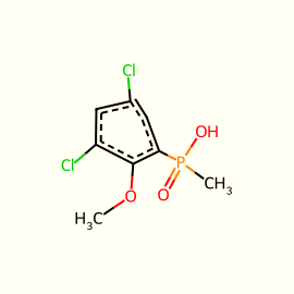 COc1c(Cl)cc(Cl)cc1P(C)(=O)O